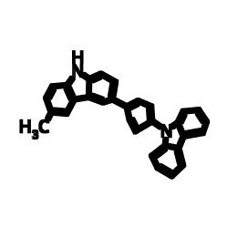 Cc1ccc2[nH]c3ccc(-c4ccc(-n5c6ccccc6c6ccccc65)cc4)cc3c2c1